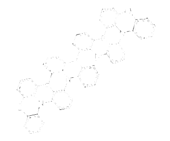 c1ccc2c(c1)Oc1cccc3c1N2c1cccc2c1B3c1cccc3c1N2c1cccc2c1B3c1cccc3c1N2c1cccc2c1B3c1cccc3c1N2c1ccccc1O3